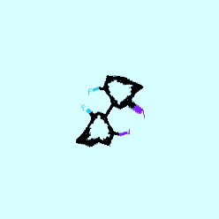 Fc1cccc(I)c1-c1c(F)cccc1I